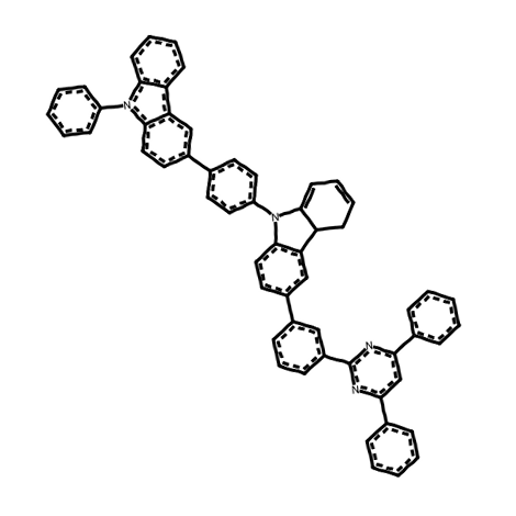 C1=CCC2C(=C1)N(c1ccc(-c3ccc4c(c3)c3ccccc3n4-c3ccccc3)cc1)c1ccc(-c3cccc(-c4nc(-c5ccccc5)cc(-c5ccccc5)n4)c3)cc12